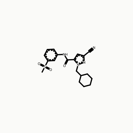 CS(=O)(=O)c1cccc(NC(=O)c2cc(C#N)nn2CC2CCCCC2)c1